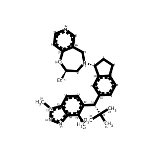 CC[C@@H]1CN([C@@H]2CCc3ccc([C@@H](c4ccc5c(nnn5C)c4C)C(C)(C)C(=O)O)cc32)Cc2cnccc2O1